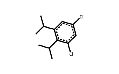 CC(C)c1cc(Cl)cc(Cl)c1C(C)C